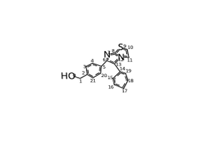 OCc1ccc(-c2nc3sccn3c2-c2ccccc2)cc1